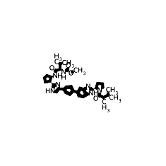 COC(=O)N[C@H](C(=O)N[C@@H]1CCC[C@H]1c1nc(-c2ccc(-c3ccc4[nH]c([C@@H]5CCCN5C(=O)[C@@H](C)C(C)C)nc4c3)cc2)c[nH]1)C(C)C